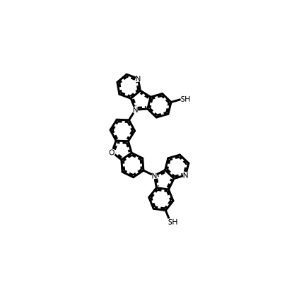 Sc1ccc2c(c1)c1ncccc1n2-c1ccc2oc3ccc(-n4c5ccc(S)cc5c5ncccc54)cc3c2c1